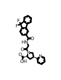 O=C(NCC(=O)N1C[C@@H](c2ccccn2)C[C@H]1C(=O)O)c1ccc2c(c1)-c1ccccc1C2(F)F